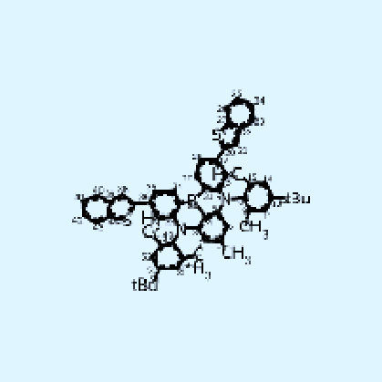 Cc1cc2c3c(c1)N(c1c(C)cc(C(C)(C)C)cc1C)c1cc(-c4cc5ccccc5s4)ccc1B3c1ccc(-c3cc4ccccc4s3)cc1N2c1c(C)cc(C(C)(C)C)cc1C